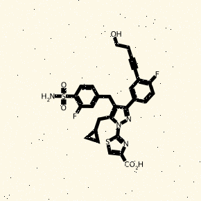 NS(=O)(=O)c1ccc(Cc2c(-c3ccc(F)c(C#CCCO)c3)nn(-c3nc(C(=O)O)cs3)c2CC2CC2)cc1F